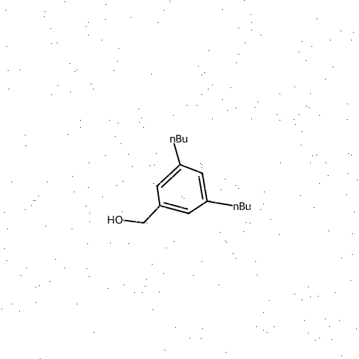 CCCCc1cc([CH]O)cc(CCCC)c1